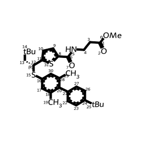 COC(=O)CCNC(=O)c1ccc([C@@H](CC(C)(C)C)Sc2cc(C)c(-c3ccc(C(C)(C)C)cc3)c(C)c2)s1